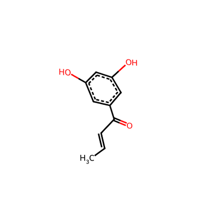 C/C=C/C(=O)c1cc(O)cc(O)c1